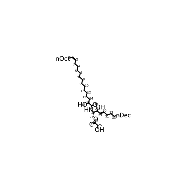 CCCCCCCC/C=C\CCCCCCCCCCCCC(O)C(=O)NC(COC(=O)CO)C(O)/C=C/CCCCCCCCCCCCC